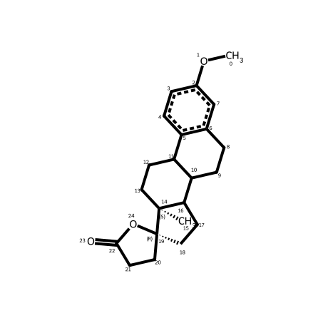 COc1ccc2c(c1)CCC1C2CC[C@@]2(C)C1CC[C@@]21CCC(=O)O1